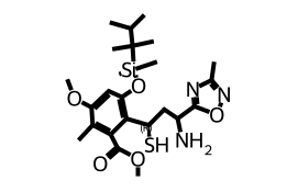 COC(=O)c1c(C)c(OC)cc(O[Si](C)(C)C(C)(C)C(C)C)c1[C@H](S)CC(N)c1nc(C)no1